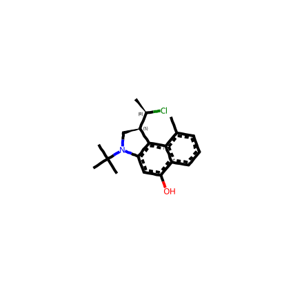 Cc1cccc2c(O)cc3c(c12)[C@H]([C@@H](C)Cl)CN3C(C)(C)C